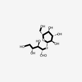 O=C[C@@H](O[C@@H]1O[C@H](CO)[C@H](O)[C@H](O)[C@H]1O)[C@H](O)[C@H](O)CO